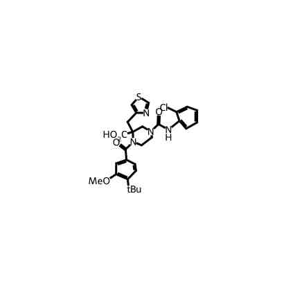 COc1cc(C(=O)N2CCN(C(=O)Nc3ccccc3Cl)CC2(Cc2cscn2)C(=O)O)ccc1C(C)(C)C